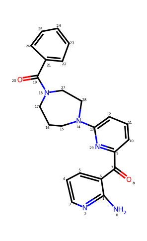 Nc1ncccc1C(=O)c1cccc(N2CCCN(C(=O)c3ccccc3)CC2)n1